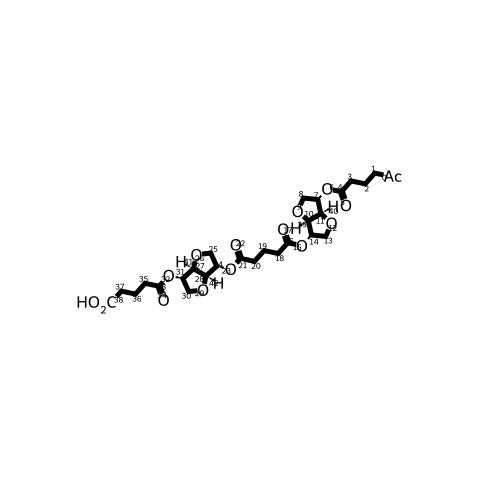 CC(=O)CCCC(=O)O[C@H]1CO[C@H]2[C@@H]1OC[C@@H]2OC(=O)CCCC(=O)O[C@H]1CO[C@H]2[C@@H]1OC[C@@H]2OC(=O)CCCC(=O)O